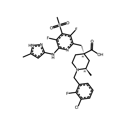 Cc1cc(Nc2nc(C[C@@]3(C(=O)O)CCN(Cc4cccc(Cl)c4F)[C@H](C)C3)c(F)c(S(C)(=O)=O)c2F)n[nH]1